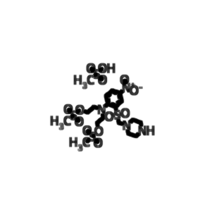 CS(=O)(=O)O.CS(=O)(=O)OCCN(CCOS(C)(=O)=O)c1ccc([N+](=O)[O-])cc1S(=O)(=O)CN1CCNCC1